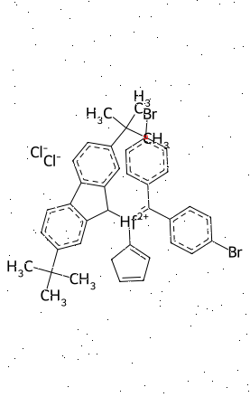 CC(C)(C)c1ccc2c(c1)[CH]([Hf+2]([C]1=CC=CC1)=[C](c1ccc(Br)cc1)c1ccc(Br)cc1)c1cc(C(C)(C)C)ccc1-2.[Cl-].[Cl-]